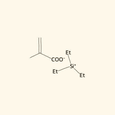 C=C(C)C(=O)[O-].CC[Si+](CC)CC